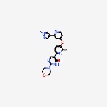 Cc1nc(-c2cnc(N3CCOCC3)[nH]c2=O)ccc1Oc1ccnc(-c2cnn(C)c2)c1